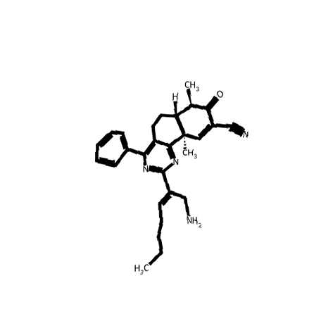 CCCC/C=C(\CN)c1nc(-c2ccccc2)c2c(n1)[C@]1(C)C=C(C#N)C(=O)[C@H](C)[C@H]1CC2